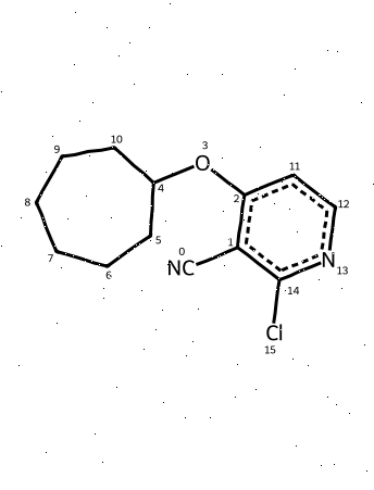 N#Cc1c(OC2CCCCCC2)ccnc1Cl